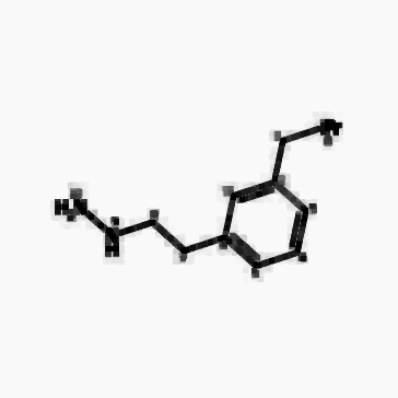 CC(C)Cc1cccc(CCNN)c1